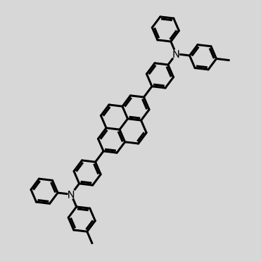 Cc1ccc(N(c2ccccc2)c2ccc(-c3cc4ccc5cc(-c6ccc(N(c7ccccc7)c7ccc(C)cc7)cc6)cc6ccc(c3)c4c56)cc2)cc1